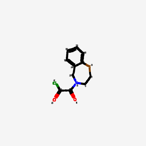 O=C(Cl)C(=O)N1CCSc2ccccc2C1